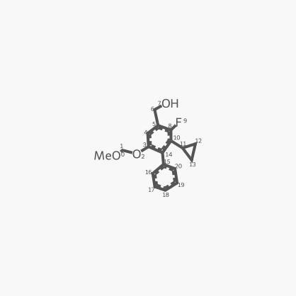 COCOc1cc(CO)c(F)c(C2CC2)c1-c1ccccc1